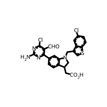 Nc1nc(Cl)c(C=O)c(-c2ccc3c(c2)N(Cc2csc4ccc(Cl)cc24)CC3CC(=O)O)n1